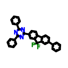 FC1(F)c2cc(-c3ccccc3)ccc2-c2ccc(-c3nc(-c4ccccc4)nc(-c4ccccc4)n3)cc21